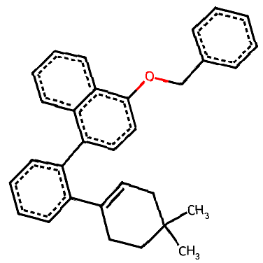 CC1(C)CC=C(c2ccccc2-c2ccc(OCc3ccccc3)c3ccccc23)CC1